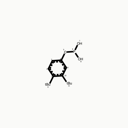 CC(C)(C)c1ccc(OP(O)O)cc1C(C)(C)C